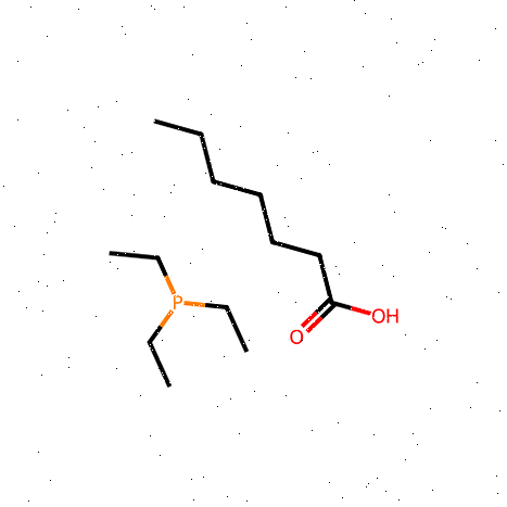 CCCCCCC(=O)O.CCP(CC)CC